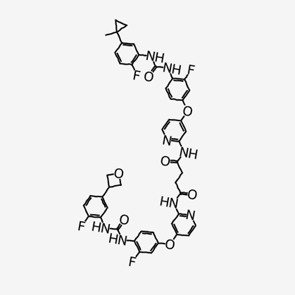 CC1(c2ccc(F)c(NC(=O)Nc3ccc(Oc4ccnc(NC(=O)CCC(=O)Nc5cc(Oc6ccc(NC(=O)Nc7cc(C8COC8)ccc7F)c(F)c6)ccn5)c4)cc3F)c2)CC1